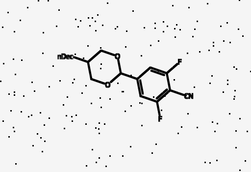 CCCCCCCCCCC1COC(c2cc(F)c(C#N)c(F)c2)OC1